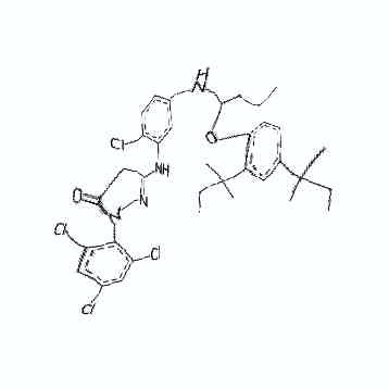 CCCC(Nc1ccc(Cl)c(NC2=NN(c3c(Cl)cc(Cl)cc3Cl)C(=O)C2)c1)Oc1ccc(C(C)(C)CC)cc1C(C)(C)CC